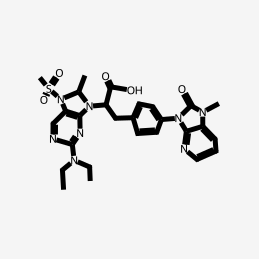 CCN(CC)c1ncc2c(n1)N(C(Cc1ccc(-n3c(=O)n(C)c4cccnc43)cc1)C(=O)O)C(C)N2S(C)(=O)=O